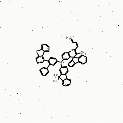 C=C/C=C\C1=C(C)C2(c3cc(N(c4ccc(-c5cccc6oc7ccccc7c56)c(-c5ccccc5)c4)c4ccc5c(c4)C(C)(C)c4ccccc4-5)ccc3O1)c1ccccc1-c1ccccc12